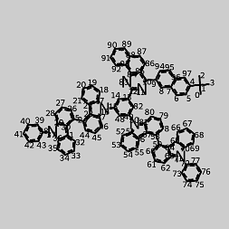 CC(C)(C)c1ccc2cc(-c3nc(-c4cc(-n5c6ccccc6c6c(-c7cccc8c7c7ccccc7n8-c7ccccc7)cccc65)cc(-n5c6ccccc6c6c(-c7cccc8c7c7ccccc7n8-c7ccccc7)cccc65)c4)nc4c3ccc3ccccc34)ccc2c1